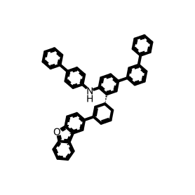 C1=CC(c2ccc3oc4ccccc4c3c2)=C[C@H](c2cc(-c3cccc(-c4ccccc4)c3)ccc2Nc2ccc(-c3ccccc3)cc2)C1